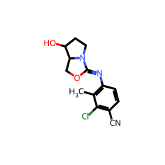 Cc1c(/N=C2\OCC3C(O)CCN23)ccc(C#N)c1Cl